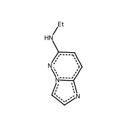 CCNc1ccc2nccn2n1